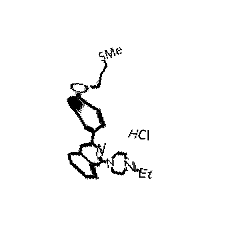 CCN1CCN(c2nc(-c3ccc(OCCCSC)cc3)cc3ccccc23)CC1.Cl